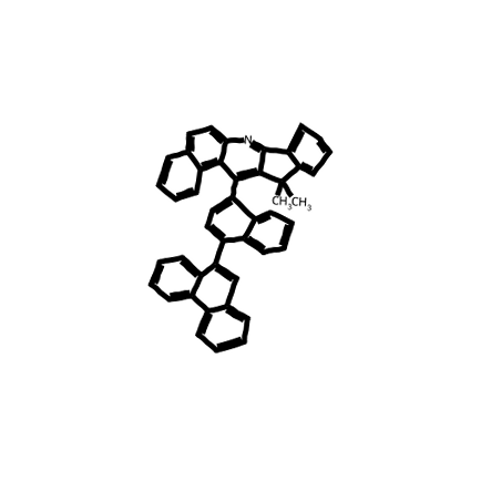 CC1(C)c2ccccc2-c2nc3ccc4ccccc4c3c(-c3ccc(-c4cc5ccccc5c5ccccc45)c4ccccc34)c21